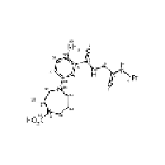 CC(C)NC(=O)CNC(=O)c1cc(N2CCCN(C(=O)O)C(C)C2)ccc1N